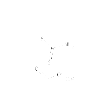 NC(=S)[S-].O=C[O-].[Cu+2]